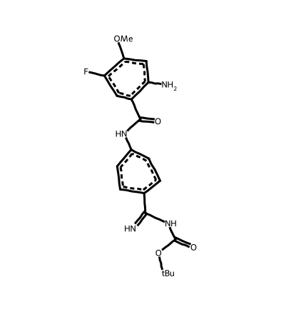 COc1cc(N)c(C(=O)Nc2ccc(C(=N)NC(=O)OC(C)(C)C)cc2)cc1F